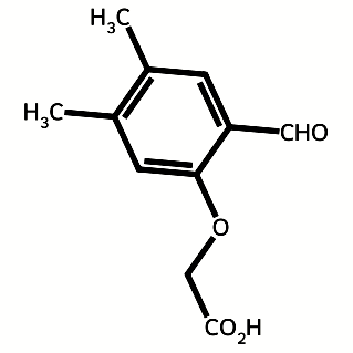 Cc1cc(C=O)c(OCC(=O)O)cc1C